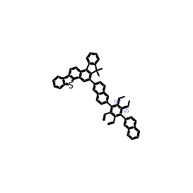 C=Cc1c(C=C)c(-c2ccc3cc(-c4cc5c(ccc6c7ccccc7sc56)c5c4C(C)(C)c4ccccc4-5)ccc3c2)c(=C/C)/c(=C\C)c1-c1ccc2ccccc2c1